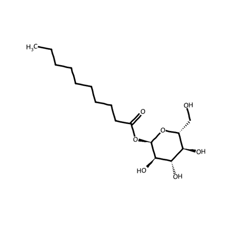 CCCCCCCCCC(=O)O[C@H]1O[C@H](CO)[C@@H](O)[C@H](O)[C@H]1O